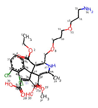 CCOC(=O)C1=C(COCCCOCCCN)NC(C)=C(C(=O)OC)C1(/C(=C/C(=O)O)C(=O)O)c1cccc(Cl)c1Cl